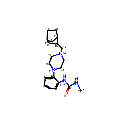 CCNC(=O)Nc1ccccc1N1CCN(CC2CC3CCC2C3)CC1